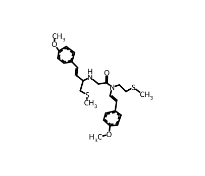 COc1ccc(/C=C/C(CSC)NCC(=O)N(/C=C/c2ccc(OC)cc2)CCSC)cc1